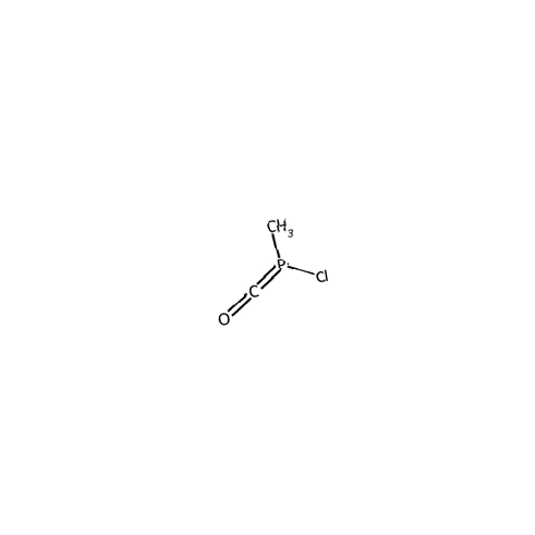 C[P](Cl)=C=O